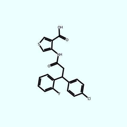 O=C(CC(c1ccc(Cl)cc1)c1ccccc1F)Nc1cscc1C(=O)O